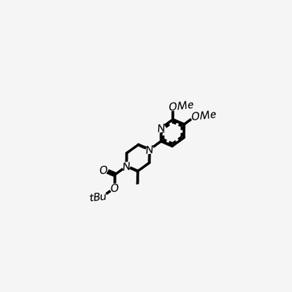 COc1ccc(N2CCN(C(=O)OC(C)(C)C)C(C)C2)nc1OC